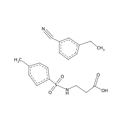 CCc1cccc(C#N)c1.Cc1ccc(S(=O)(=O)NCCC(=O)O)cc1